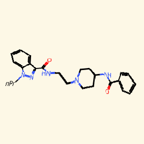 CCCn1nc(C(=O)NCCN2CCC(NC(=O)c3ccccc3)CC2)c2ccccc21